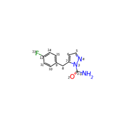 NC(=O)n1nccc1Cc1ccc(F)cc1